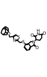 O=C1CCC(N2Cc3c(SCc4nc(COC5C6CC7CC(C6)C5C7)cs4)cccc3C2=O)C(=O)N1